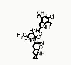 COc1cc(Cl)c(F)c2[nH]c(C(=O)NC(CC(C)(C)F)C(=O)NC(C#N)CC3CC4(CC4)NC3=O)cc12